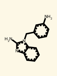 Nc1cccc(Cn2c(N)nc3ccccc32)c1